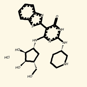 Cl.O=c1[nH]c(N[C@H]2CCCNC2)nc(N[C@@H]2C[C@H](CO)[C@@H](O)[C@H]2O)c1-c1nc2ccccc2s1